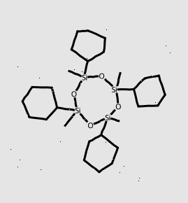 C[Si]1(C2CCCCC2)O[Si](C)(C2CCCCC2)O[Si](C)(C2CCCCC2)O[Si](C)(C2CCCCC2)O1